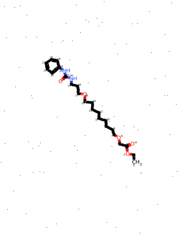 CCOC(=O)COCCCCCCCCCOCCCNC(=O)Nc1ccccc1